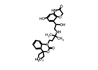 CCC1(CC)OC(=O)N(CCC(C)(C)NCC(O)c2cc(O)cc3c2OCC(=O)N3)c2ccccc21